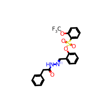 O=C(Cc1ccccc1)N/N=C/c1ccccc1OS(=O)(=O)c1ccccc1OC(F)(F)F